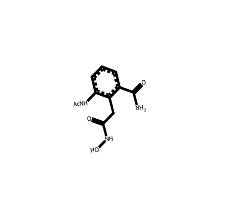 CC(=O)Nc1cccc(C(N)=O)c1CC(=O)NO